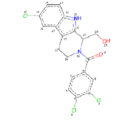 O=C(c1ccc(Cl)c(Cl)c1)N1CCc2c([nH]c3ccc(Cl)cc23)C1CO